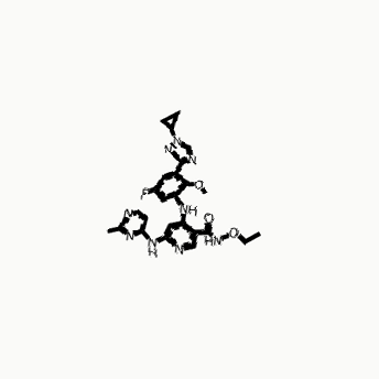 CCONC(=O)c1cnc(Nc2ccnc(C)n2)cc1Nc1cc(F)cc(-c2ncn(C3CC3)n2)c1OC